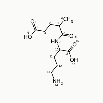 CC(CCC(=O)O)C(=O)NC(CCCN)C(=O)O